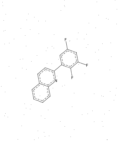 Fc1cc(F)c(F)c(-c2ccc3ccccc3n2)c1